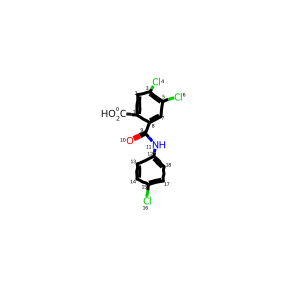 O=C(O)c1cc(Cl)c(Cl)cc1C(=O)Nc1ccc(Cl)cc1